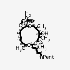 CCCCC/C=C/C(C)=C/C1CC(C)C/C=C/CCC(OC=O)C(OC(N)=O)CCC(C)CC(O)C(C)C(=O)O1